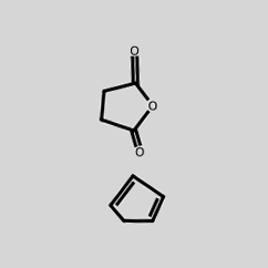 C1=CCC=C1.O=C1CCC(=O)O1